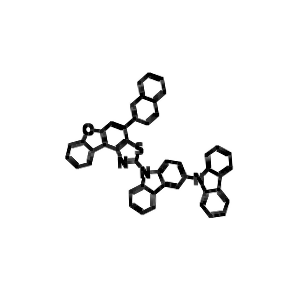 c1ccc2cc(-c3cc4oc5ccccc5c4c4nc(-n5c6ccccc6c6cc(-n7c8ccccc8c8ccccc87)ccc65)sc34)ccc2c1